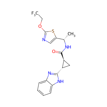 C[C@H](NC(=O)[C@H]1C[C@@H]1c1nc2ccccc2[nH]1)c1cnc(OCC(F)(F)F)s1